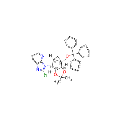 CC1(C)O[C@H]2[C@H](n3c(Cl)nc4cccnc43)[C@H]3C[C@@]3(COC(c3ccccc3)(c3ccccc3)c3ccccc3)[C@H]2O1